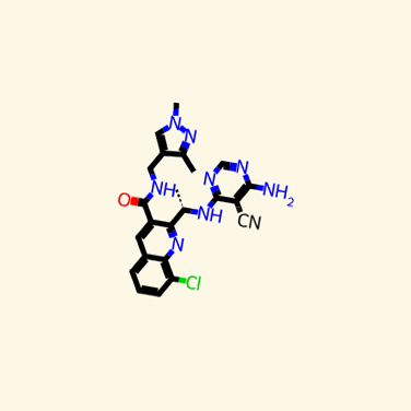 Cc1nn(C)cc1CNC(=O)c1cc2cccc(Cl)c2nc1[C@H](C)Nc1ncnc(N)c1C#N